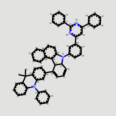 CC1(C)c2ccccc2N(c2ccccc2)c2cc(C3=CC=CC4C3c3c(ccc5ccccc35)N4c3cccc(-c4cc(-c5ccccc5)nc(-c5ccccc5)n4)c3)ccc21